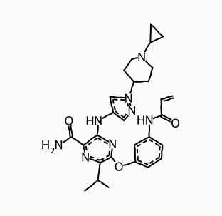 C=CC(=O)Nc1cccc(Oc2nc(Nc3cnn(C4CCN(C5CC5)CC4)c3)c(C(N)=O)nc2C(C)C)c1